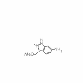 COCN1c2ccc(N)cc2NN1C